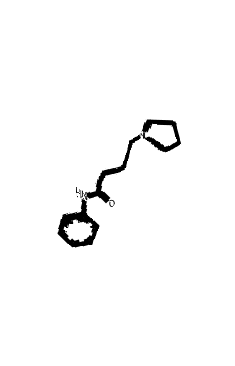 O=C(CCCN1C[CH]CC1)Nc1ccccc1